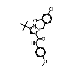 COc1ccc(NC(=O)c2cc(C(C)(C)C)nn2Cc2ccc(Cl)cc2Cl)cc1